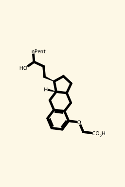 CCCCCC(O)CC[C@H]1CCC2Cc3c(cccc3OCC(=O)O)C[C@@H]21